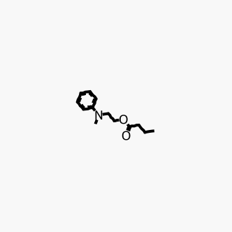 CCCC(=O)OCCN(C)c1ccccc1